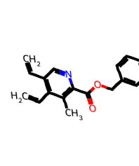 C=Cc1cnc(C(=O)OCc2ccccc2)c(C)c1C=C